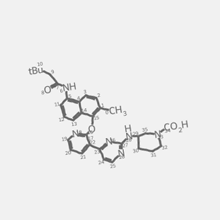 Cc1ccc2c(NC(=O)CC(C)(C)C)cccc2c1Oc1ncccc1-c1ccnc(NC2CCCN(C(=O)O)C2)n1